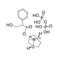 CN1[C@@H]2CC[C@H]1C[C@@H](OC(=O)C(CO)c1ccccc1)C2.O=P(O)(O)OP(=O)(O)O